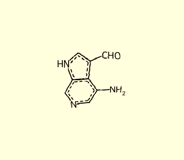 Nc1cncc2[nH]cc(C=O)c12